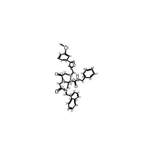 COc1cccc(-c2cc(CN3CC(=O)N4CC(=O)N(Cc5cccc6ccccc56)CC4N3C(=O)NCc3ccccc3)on2)c1